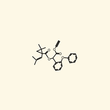 C#COC(=O)C(OC(=O)C1(C=C(C)C)CC1(C)C)c1ccccc1Oc1ccccc1